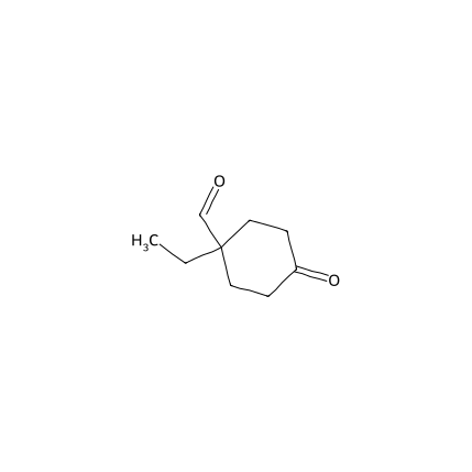 CCC1(C=O)CCC(=O)CC1